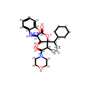 CCC(C1CCCCC1)C(OC(N)=O)(C(=O)c1nc2ccccc2o1)C(C)C(=O)N1CCOCC1